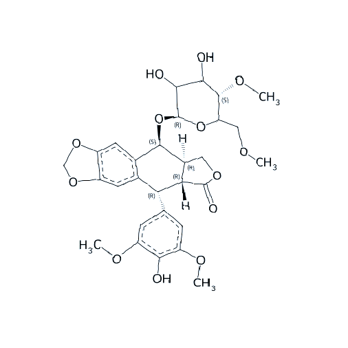 COCC1O[C@@H](O[C@@H]2c3cc4c(cc3[C@@H](c3cc(OC)c(O)c(OC)c3)[C@H]3C(=O)OC[C@@H]32)OCO4)C(O)C(O)[C@@H]1OC